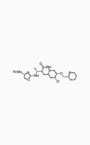 CC(=O)Nc1coc(N[C@@H](C)c2cc3cc(Cl)c(OCc4ccccn4)cc3[nH]c2=O)n1